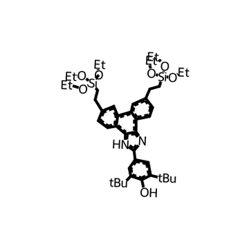 CCO[Si](CCc1ccc2c(c1)c1cc(CC[Si](OCC)(OCC)OCC)ccc1c1[nH]c(-c3cc(C(C)(C)C)c(O)c(C(C)(C)C)c3)nc21)(OCC)OCC